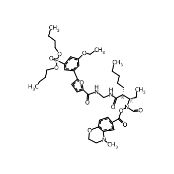 CCCCC[C@@H](C(=O)NCNC(=O)c1ccc(-c2cc(OCC)cc(P(=O)(OCCCC)OCCCC)c2)o1)[C@@H](CC)N(C=O)OC(=O)c1ccc2c(c1)N(C)CCO2